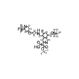 CC(C)(C)OC(=O)N(C(=O)O)c1cc2c(CNC3CC(Oc4ccnc(C(F)(F)F)c4)C3)c(F)cc(CO[Si](C)(C)C(C)(C)C)c2cn1